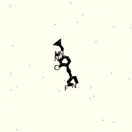 Fc1cc(C#Cc2ccc3c(nnn3CC3CC3)c2Cl)ccn1